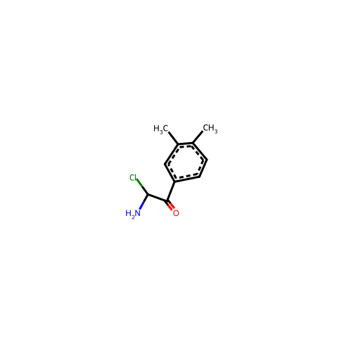 Cc1ccc(C(=O)C(N)Cl)cc1C